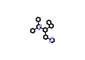 c1ccc(-c2cc(-c3ccccc3)nc(-c3cc(-c4cccc(-c5ncccn5)c4)cc(-c4cccc5ccccc45)c3)n2)cc1